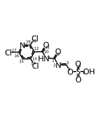 O=C(N=COS(=O)(=O)O)NC(=O)c1c(Cl)cc(Cl)nc1Cl